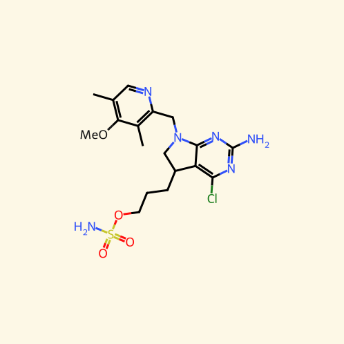 COc1c(C)cnc(CN2CC(CCCOS(N)(=O)=O)c3c(Cl)nc(N)nc32)c1C